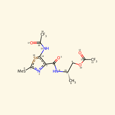 CSc1nc(C(=O)N[C@@H](C)COC(=O)C(F)(F)F)c(NC(=O)C(F)(F)F)s1